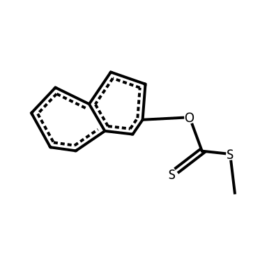 CSC(=S)Oc1ccc2ccccc2c1